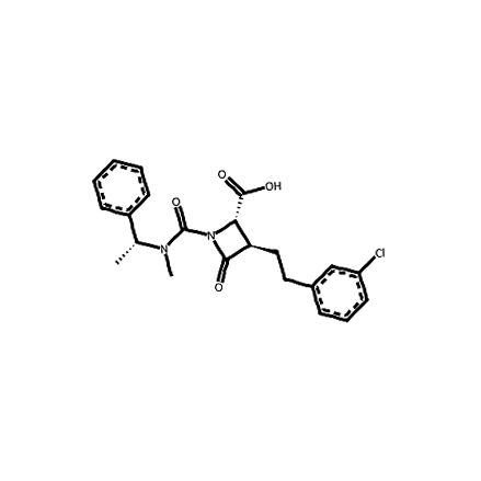 C[C@H](c1ccccc1)N(C)C(=O)N1C(=O)[C@H](CCc2cccc(Cl)c2)[C@H]1C(=O)O